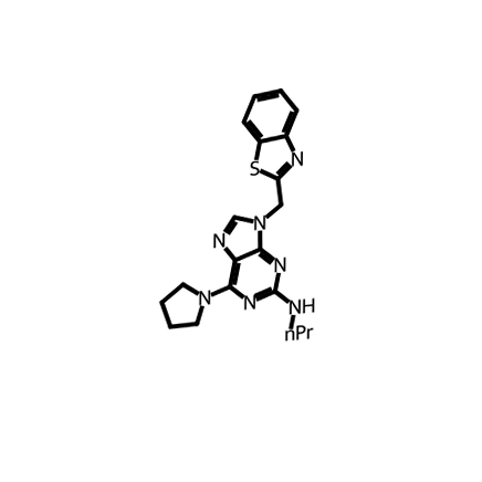 CCCNc1nc(N2CCCC2)c2ncn(Cc3nc4ccccc4s3)c2n1